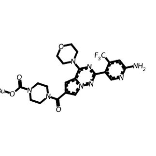 CC(C)(C)OC(=O)N1CCN(C(=O)c2cc3c(N4CCOCC4)nc(-c4cnc(N)cc4C(F)(F)F)nn3c2)CC1